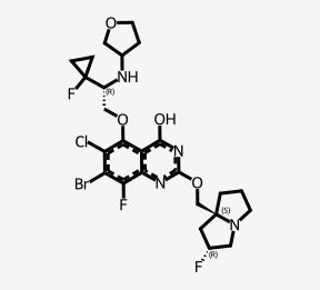 Oc1nc(OC[C@@]23CCCN2C[C@H](F)C3)nc2c(F)c(Br)c(Cl)c(OC[C@@H](NC3CCOC3)C3(F)CC3)c12